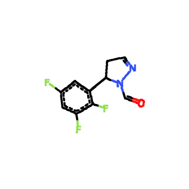 O=CN1N=CCC1c1cc(F)cc(F)c1F